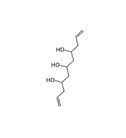 C=CCC(O)CC(O)CC(O)CC=C